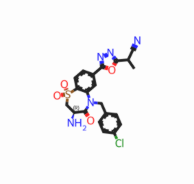 CC(C#N)c1nnc(-c2ccc3c(c2)N(Cc2ccc(Cl)cc2)C(=O)[C@@H](N)CS3(=O)=O)o1